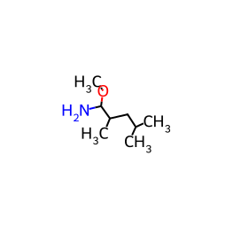 COC(N)C(C)CC(C)C